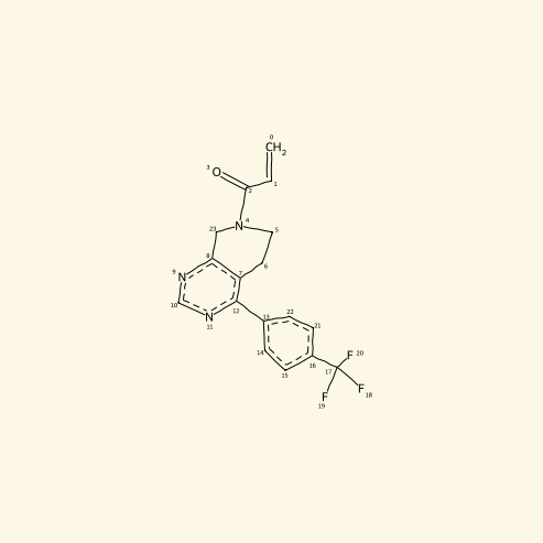 C=CC(=O)N1CCc2c(ncnc2-c2ccc(C(F)(F)F)cc2)C1